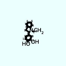 C=CN1c2ccccc2CC1c1ccc(O)c(O)c1